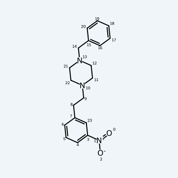 O=[N+]([O-])c1cccc(CCN2CCN(Cc3ccccc3)CC2)c1